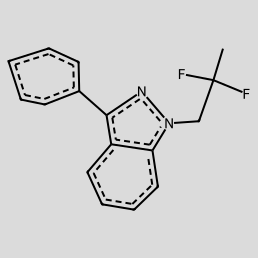 CC(F)(F)Cn1nc(-c2ccccc2)c2ccccc21